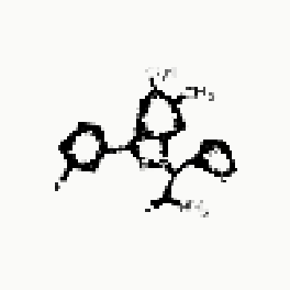 Cc1cc2c(cc1C(=O)O)c(-c1cccc(F)c1)nn2C(C(N)=O)c1cccs1